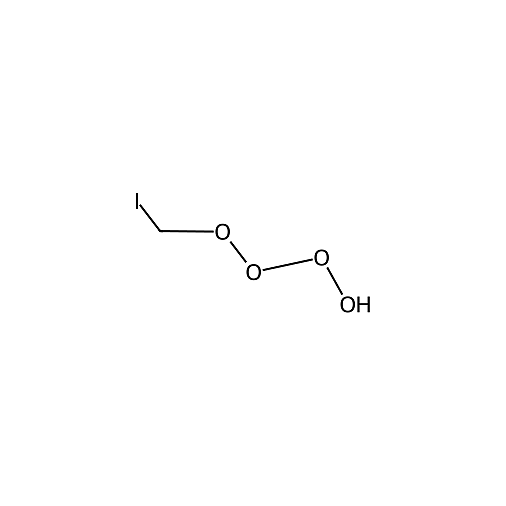 OOOOCI